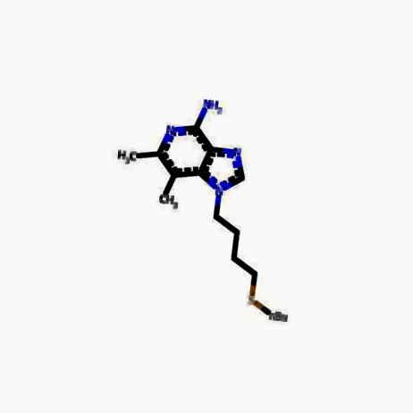 CCCCSCCCCn1cnc2c(N)nc(C)c(C)c21